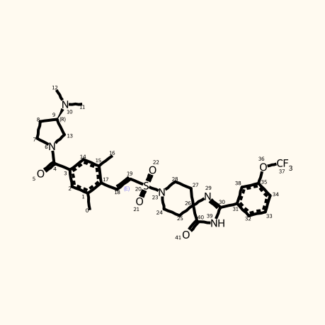 Cc1cc(C(=O)N2CC[C@@H](N(C)C)C2)cc(C)c1/C=C/S(=O)(=O)N1CCC2(CC1)N=C(c1cccc(OC(F)(F)F)c1)NC2=O